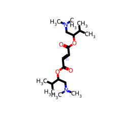 CC(C)C(CN(C)C)OC(=O)/C=C/C(=O)OC(CN(C)C)C(C)C